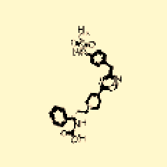 CS(=O)(=O)Nc1ccc(Cc2noc(C3CCN(CC[C@H](NC(=O)O)c4ccccc4)CC3)n2)cc1